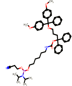 COc1ccc(C(OCCCC(OC(=O)NCCCCCCOP(OCCC#N)N(C(C)C)C(C)C)(c2ccccc2)c2ccccc2)(c2ccccc2)c2ccc(OC)cc2)cc1